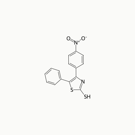 O=[N+]([O-])c1ccc(-c2nc(S)sc2-c2ccccc2)cc1